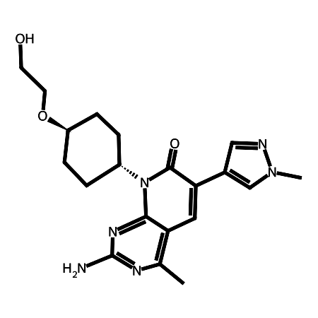 Cc1nc(N)nc2c1cc(-c1cnn(C)c1)c(=O)n2[C@H]1CC[C@H](OCCO)CC1